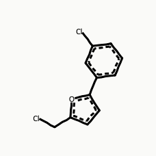 ClCc1ccc(-c2cccc(Cl)c2)o1